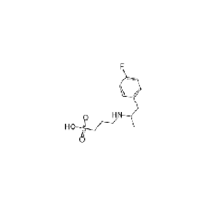 CC(Cc1ccc(F)cc1)NCCCS(=O)(=O)O